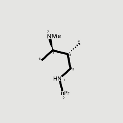 CCCNC[C@@H](C)[C@@H](C)NC